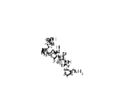 NCc1ccccc1CC(=O)NC1C(=O)N2C(C(=O)O)=C(CSc3nnnn3CCS(=O)(=O)O)CS[C@H]12